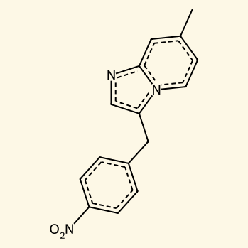 Cc1ccn2c(Cc3ccc([N+](=O)[O-])cc3)cnc2c1